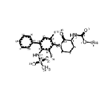 CC(C)(C)OC(=O)NC1CCCN(c2c(F)cc(-c3ccccc3)c(NS(C)(=O)=O)c2F)C1=O